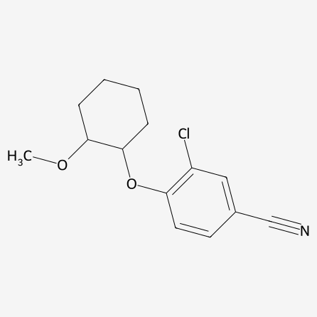 COC1CCCCC1Oc1ccc(C#N)cc1Cl